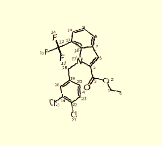 CCOC(=O)c1cc2cccc(C(F)(F)F)c2n1Cc1ccc(Cl)c(Cl)c1